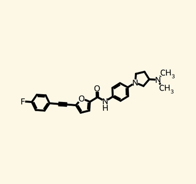 CN(C)C1CCN(c2ccc(NC(=O)c3ccc(C#Cc4ccc(F)cc4)o3)cc2)C1